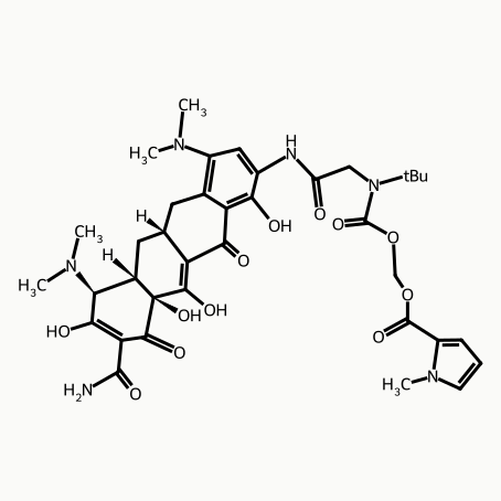 CN(C)c1cc(NC(=O)CN(C(=O)OCOC(=O)c2cccn2C)C(C)(C)C)c(O)c2c1C[C@H]1C[C@H]3[C@H](N(C)C)C(O)=C(C(N)=O)C(=O)[C@@]3(O)C(O)=C1C2=O